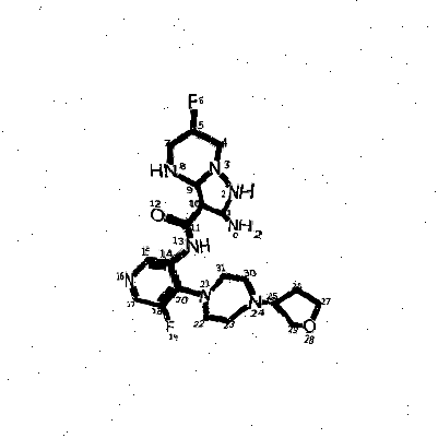 NC1NN2CC(F)CNC2C1C(=O)Nc1cncc(F)c1N1CCN([C@H]2CCOC2)CC1